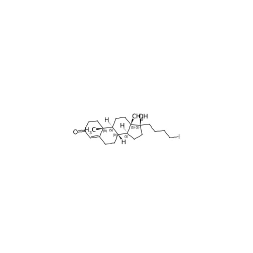 C[C@]12CCC(=O)C=C1CC[C@@H]1[C@@H]2CC[C@@]2(C)[C@H]1CC[C@@]2(O)CCCCI